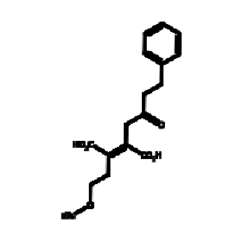 CCCCOCC/C(C(=O)O)=C(/CC(=O)CCc1ccccc1)C(=O)O